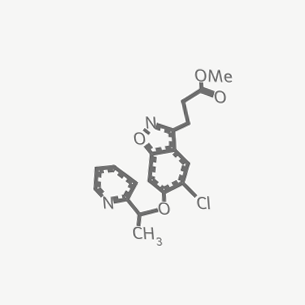 COC(=O)CCc1noc2cc(OC(C)c3ccccn3)c(Cl)cc12